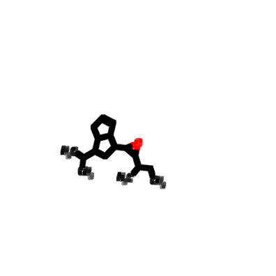 CCC(C)C1OC1C1CC(C(C)C)C2CC=CC21